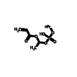 C=CC(=O)OC(C)OP(=O)(O)OCCC